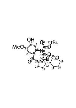 COc1cc2c(cc1O)N(C(=O)OC(C)(C)C)[C@@H](OC1CCCCO1)[C@@H]1CCCN1C2=O